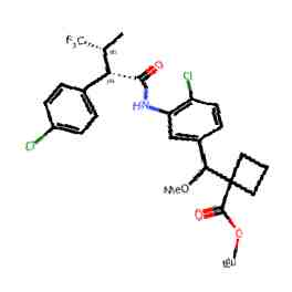 COC(c1ccc(Cl)c(NC(=O)[C@H](c2ccc(Cl)cc2)[C@@H](C)C(F)(F)F)c1)C1(C(=O)OC(C)(C)C)CCC1